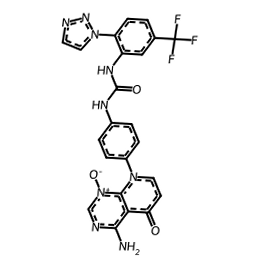 Nc1nc[n+]([O-])c2c1c(=O)ccn2-c1ccc(NC(=O)Nc2cc(C(F)(F)F)ccc2-n2ccnn2)cc1